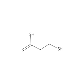 C=C(S)CCS